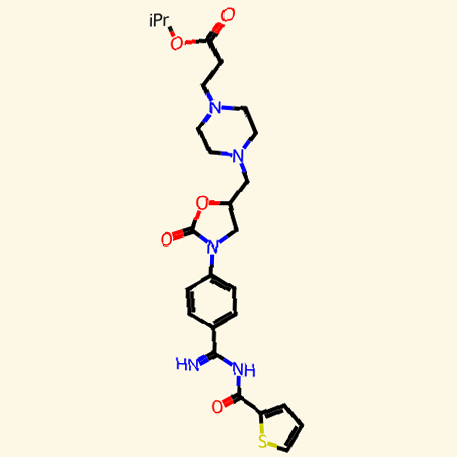 CC(C)OC(=O)CCN1CCN(CC2CN(c3ccc(C(=N)NC(=O)c4cccs4)cc3)C(=O)O2)CC1